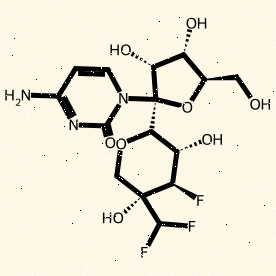 Nc1ccn([C@]2(C3OC[C@](O)(C(F)F)[C@H](F)[C@H]3O)O[C@H](CO)[C@@H](O)[C@H]2O)c(=O)n1